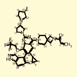 C=CC(=O)N1CC2(CCN(c3nc(N4CC[C@@H](N5CC[C@@H](F)C5)C4)nc4c(OCC(F)(F)F)c(-c5c(C)ccc6[nH]ncc56)c(C5CC5)cc34)CC2)C1